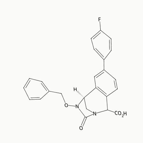 O=C(O)C1c2ccc(-c3ccc(F)cc3)cc2[C@H]2CN1C(=O)N2OCc1ccccc1